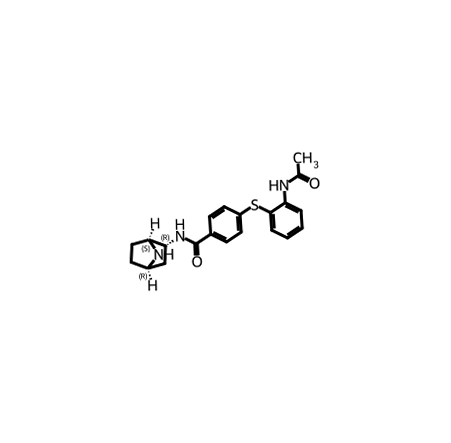 CC(=O)Nc1ccccc1Sc1ccc(C(=O)N[C@@H]2C[C@H]3CC[C@@H]2N3)cc1